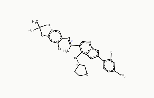 CCc1cc(O[Si](C)(C)C(C)(C)C)ccc1/N=C(\N)c1cnn2cc(-c3ccc(C)nc3F)cc2c1N[C@H]1CCOC1